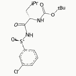 CC(C)C[C@H](NC(=O)OC(C)(C)C)C(=O)N[S@+]([O-])c1cccc(Cl)c1